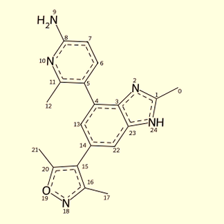 Cc1nc2c(-c3ccc(N)nc3C)cc(-c3c(C)noc3C)cc2[nH]1